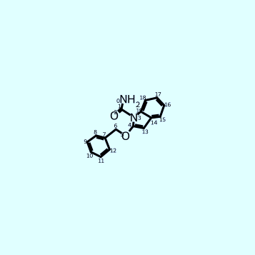 NC(=O)n1c(OCc2ccccc2)cc2ccccc21